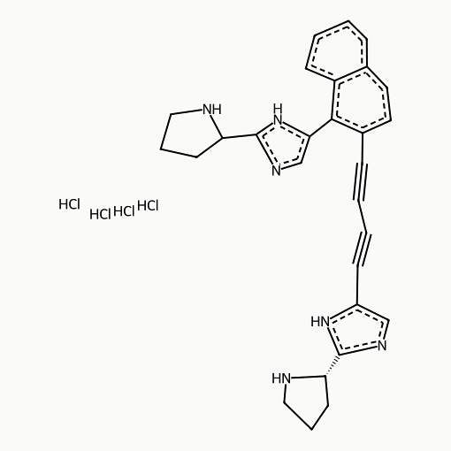 C(C#Cc1ccc2ccccc2c1-c1cnc(C2CCCN2)[nH]1)#Cc1cnc([C@@H]2CCCN2)[nH]1.Cl.Cl.Cl.Cl